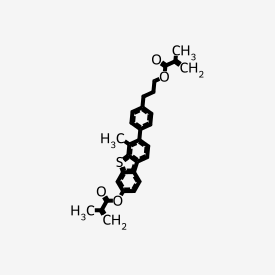 C=C(C)C(=O)OCCCc1ccc(-c2ccc3c(sc4cc(OC(=O)C(=C)C)ccc43)c2C)cc1